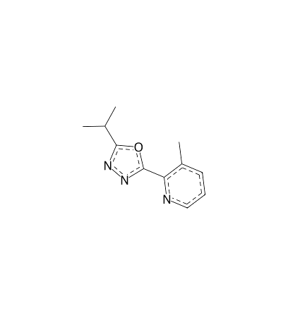 Cc1cccnc1-c1nnc(C(C)C)o1